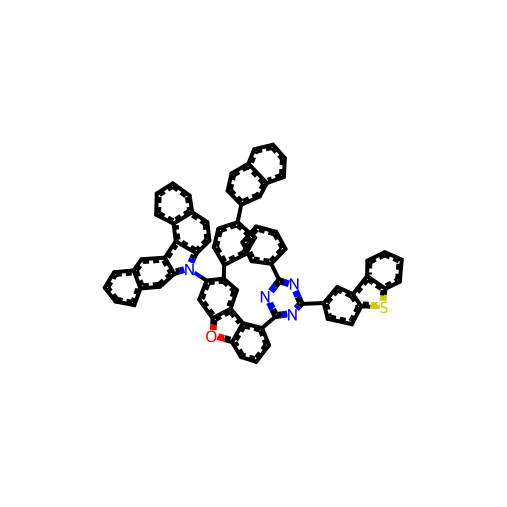 c1ccc(-c2nc(-c3ccc4sc5ccccc5c4c3)nc(-c3cccc4oc5cc(-n6c7cc8ccccc8cc7c7c8ccccc8ccc76)c(-c6ccc(-c7ccc8ccccc8c7)cc6)cc5c34)n2)cc1